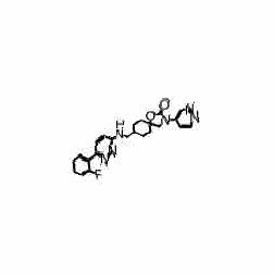 O=C1OC2(CCC(CNc3ccc(-c4ccccc4F)nn3)CC2)CN1c1ccnnc1